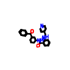 O=C(c1ccccc1)c1cccc(NC(=O)c2ccccc2NCc2ccncc2)c1